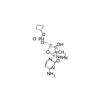 C[C@@]1(N=[N+]=[N-])[C@H](O)[C@@H](CO[PH](=O)OC2CCC2)O[C@H]1n1ccc(N)nc1=O